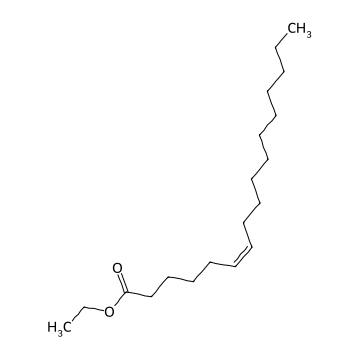 CCCCCCCCCC/C=C\CCCCC(=O)OCC